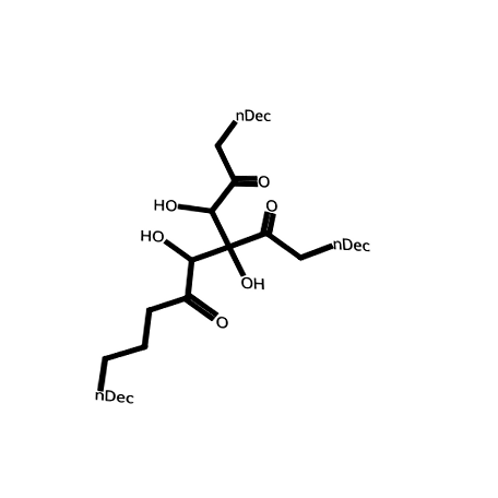 CCCCCCCCCCCCCC(=O)C(O)C(O)(C(=O)CCCCCCCCCCC)C(O)C(=O)CCCCCCCCCCC